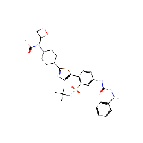 C[C@H](NC(=O)Nc1ccc(-c2cnc(C3CCC(N(C(=O)O)C4COC4)CC3)s2)c(S(=O)(=O)NC(C)(C)C)c1)c1ccccc1